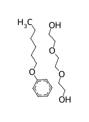 CCCCCCOc1ccccc1.OCCOCCOCCO